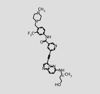 C[C@H](CCO)Nc1ccc2ncc(C#Cc3cncc(C(=O)Nc4ccc(CN5CCN(C)CC5)c(C(F)(F)F)c4)c3)n2n1